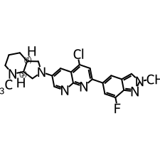 CN1CCC[C@H]2CN(c3cnc4nc(-c5cc(F)c6nn(C)cc6c5)cc(Cl)c4c3)C[C@H]21